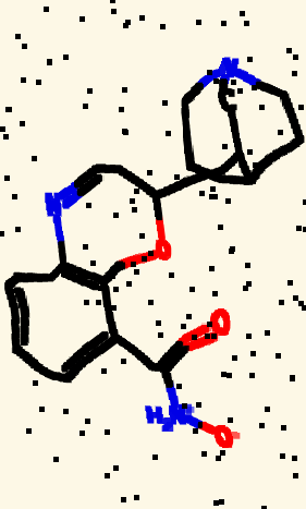 O=C([NH2+][O-])c1cccc2c1OC(C1CN3CCC1CC3)C=N2